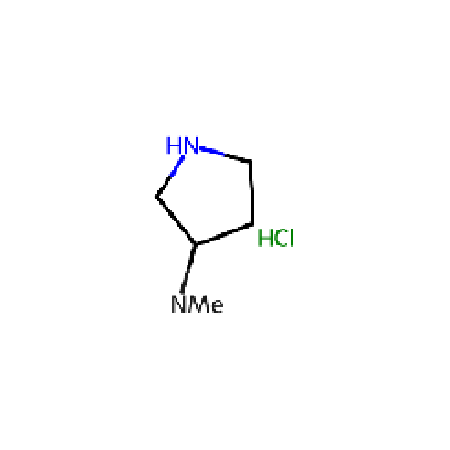 CNC1CCNC1.Cl